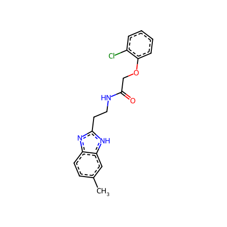 Cc1ccc2nc(CCNC(=O)COc3ccccc3Cl)[nH]c2c1